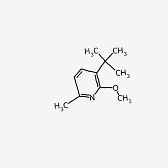 COc1nc(C)ccc1C(C)(C)C